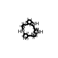 c1cc2[nH]c3cc2c(c1)c1ccc([nH]c2cncc(c2)c2ccc4[nH]nc3c4n2)s1